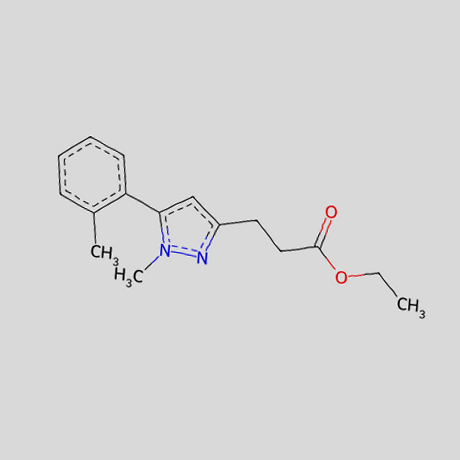 CCOC(=O)CCc1cc(-c2ccccc2C)n(C)n1